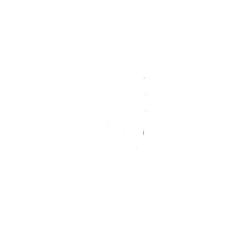 CCOC(=O)[C@@H]1CN(Cc2ccccc2)C[C@H]1c1ccc(Cl)cc1